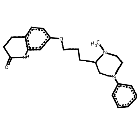 CN1CCN(c2ccccc2)CC1CCCOc1ccc2c(c1)NC(=O)CC2